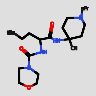 CCCN1CCC(C#N)(NC(=O)C(CCC(C)(C)C)NC(=O)N2CCOCC2)CC1